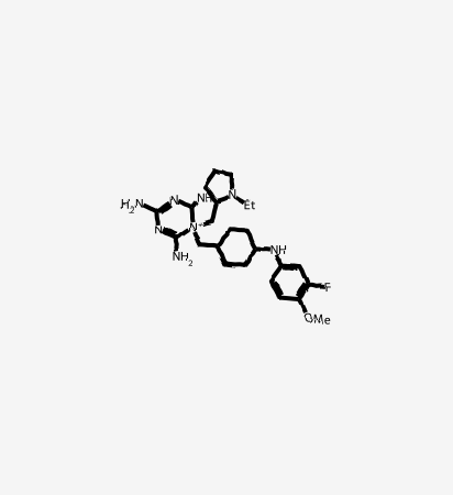 CCN1CCCC1C[N+]1(CC2CCC(Nc3ccc(OC)c(F)c3)CC2)C(N)=NC(N)=NC1N